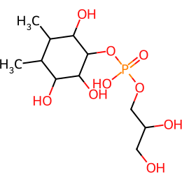 CC1C(C)C(O)C(OP(=O)(O)OCC(O)CO)C(O)C1O